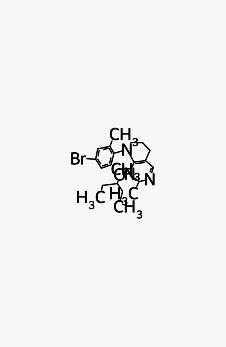 CCC(CC)ON1C2=C(C=NC1C)CCCN2c1c(C)cc(Br)cc1C